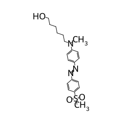 CN(CCCCCCO)c1ccc(N=Nc2ccc(S(C)(=O)=O)cc2)cc1